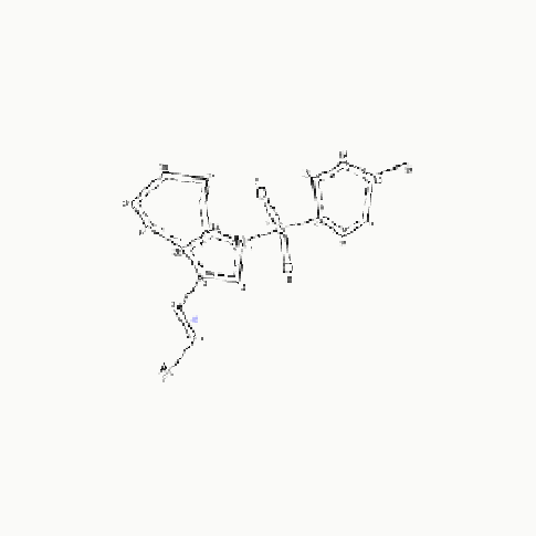 CC(=O)/C=C/c1cn(S(=O)(=O)c2ccc(C)cc2)c2ccccc12